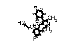 C#CCOc1cc(F)cc(F)c1Nc1c(-c2ccc(F)cc2Cl)c(C)nn1C